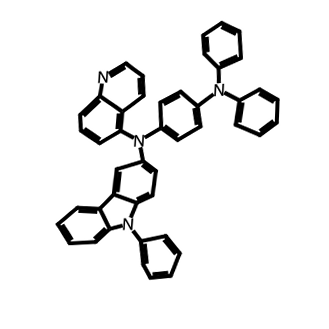 c1ccc(N(c2ccccc2)c2ccc(N(c3ccc4c(c3)c3ccccc3n4-c3ccccc3)c3cccc4ncccc34)cc2)cc1